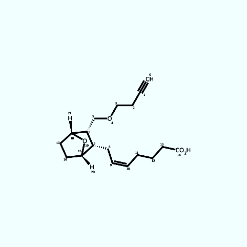 C#CCCOC[C@@H]1[C@H](C/C=C\CCCC(=O)O)[C@@H]2CC[C@H]1O2